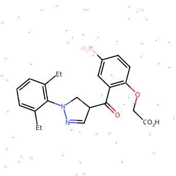 Bc1ccc(OCC(=O)O)c(C(=O)C2C=NN(c3c(CC)cccc3CC)C2)c1